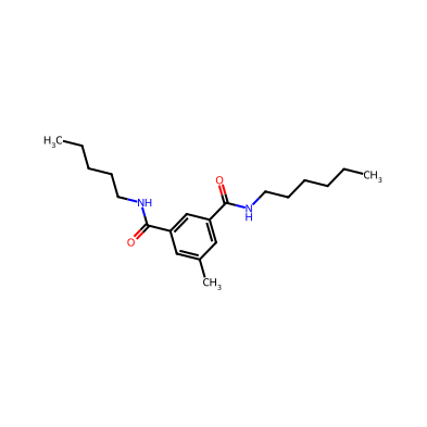 CCCCCCNC(=O)c1cc(C)cc(C(=O)NCCCCC)c1